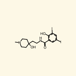 CN1CCC(O)(CCNC(=O)c2cc(I)cc(I)c2O)CC1